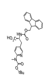 CN(C(=O)OC(C)(C)C)c1ccc(C[C@H](NC(=O)OCC2c3ccccc3-c3ccccc32)C(=O)O)cn1